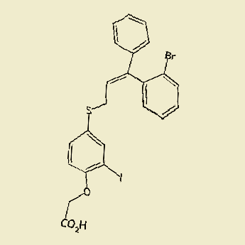 O=C(O)COc1ccc(SCC=C(c2ccccc2)c2ccccc2Br)cc1I